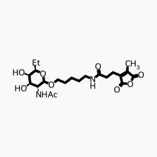 CC[C@H]1OC(OCCCCCNC(=O)CCC2=C(C)C(=O)OC2=O)[C@H](NC(C)=O)[C@@H](O)[C@H]1O